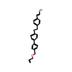 C=CCOCc1ccc(-c2ccc(CCc3ccc(C=CCCC)cc3)cc2)cc1